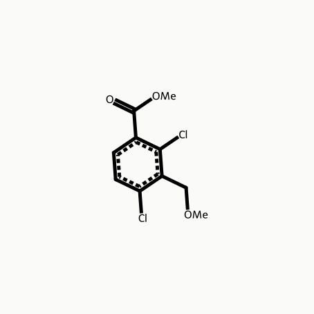 COCc1c(Cl)ccc(C(=O)OC)c1Cl